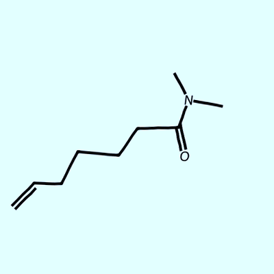 C=CCCCCC(=O)N(C)C